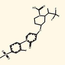 CC(C1CC(Oc2ccn(-c3ccc(S(C)(=O)=O)cc3F)c(=O)c2)CCN1C(=O)O)C(F)(F)F